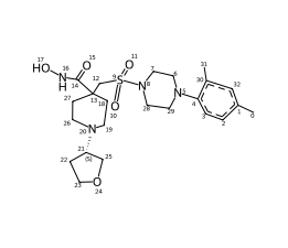 Cc1ccc(N2CCN(S(=O)(=O)CC3(C(=O)NO)CCN([C@H]4CCOC4)CC3)CC2)c(C)c1